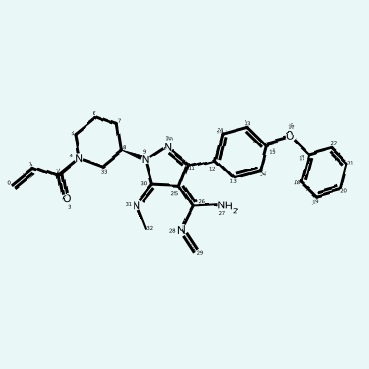 C=CC(=O)N1CCC[C@@H](N2N=C(c3ccc(Oc4ccccc4)cc3)C(=C(\N)N=C)/C2=N\C)C1